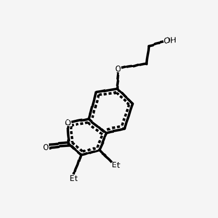 CCc1c(CC)c2ccc(OCCO)cc2oc1=O